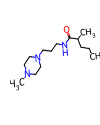 CCCC(C)C(=O)NCCCN1CCN(C)CC1